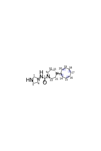 O=C(N[C@@H]1CCNC1)N1CCC[C@H](C2=C/C=C\C=C/C=C\2)CC1